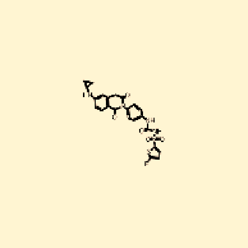 O=C(Nc1ccc(N2C(=O)Cc3cc(NC4CC4)ccc3C2=O)nc1)NS(=O)(=O)c1ccc(F)s1